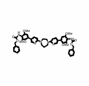 COc1cc(-c2ccc(N3CCCN(c4ccc(-c5cc(OC)c(NC(=O)OCc6ccccc6)c(OC)c5)cn4)CC3)nc2)cc(OC)c1NC(=O)OCc1ccccc1